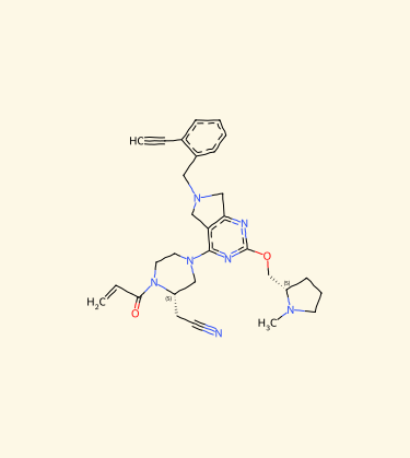 C#Cc1ccccc1CN1Cc2nc(OC[C@@H]3CCCN3C)nc(N3CCN(C(=O)C=C)[C@@H](CC#N)C3)c2C1